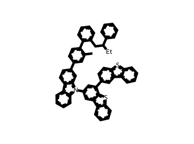 CCC(Cc1ccccc1-c1ccc(-c2ccc3c4ccccc4n(-c4cc(-c5ccc6sc7ccccc7c6c5)c5sc6ccccc6c5c4)c3c2)cc1C)c1ccccc1